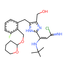 CC(C)(C)N/C(=C/C(=N)Cl)c1nc(CO)c(Cc2cccc(F)c2COC2CCCCO2)[nH]1